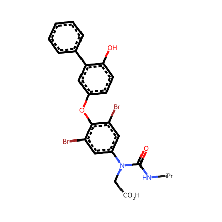 CC(C)NC(=O)N(CC(=O)O)c1cc(Br)c(Oc2ccc(O)c(-c3ccccc3)c2)c(Br)c1